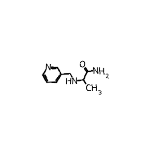 CC(NCc1cccnc1)C(N)=O